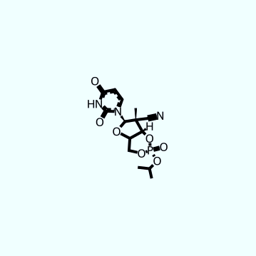 CC(C)OP1(=O)OCC2O[C@@H](n3ccc(=O)[nH]c3=O)[C@](C)(C#N)[C@@H]2O1